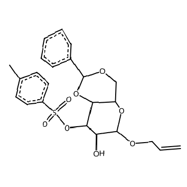 C=CCOC1OC2COC(c3ccccc3)OC2C(OS(=O)(=O)c2ccc(C)cc2)C1O